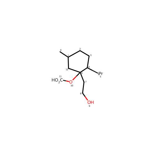 CC1CCC(C(C)C)C(CCO)(OC(=O)O)C1